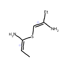 C/C=C(/N)S/C=C(\N)CC